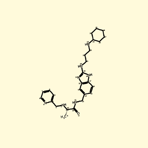 C[C@H](NCc1ccccn1)C(=O)NCc1ccc2[nH]c(NCCCNC3CCCCC3)nc2c1